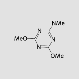 CNc1nc(OC)nc(OC)n1